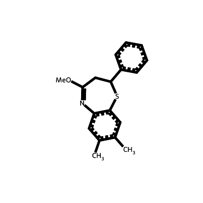 COC1=Nc2cc(C)c(C)cc2SC(c2ccccc2)C1